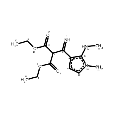 CCOC(=O)C(C(=N)c1ccn(P)c1NC)C(=O)OCC